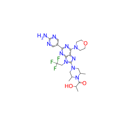 CC(O)C(=O)N1C(C)CN(c2nc3c(N4CCOCC4)nc(-c4cnc(N)nc4)nc3n2CC(F)(F)F)CC1C